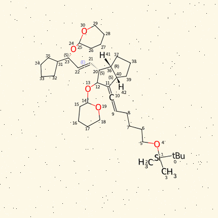 CC(C)(C)[Si](C)(C)OCCCCC=C=C1C(OC2CCCCO2)[C@H](/C=C/[C@@H](OC2CCCCO2)C2CCCC2)[C@@H]2CCC[C@H]12